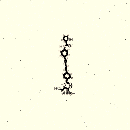 C[C@@H](O)[C@H](NC(=O)c1ccc(C#CC#Cc2ccc(NC(=O)C3CCCN3)cc2)cc1)C(=O)NO